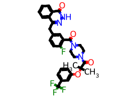 CC(C)(Oc1cccc(C(F)(F)F)c1)C(=O)N1CCN(C(=O)c2cc(Cc3n[nH]c(=O)c4ccccc34)ccc2F)CC1